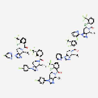 CC1c2ncn(-c3ccc(F)cc3)c2CCN1C(=O)c1cccc(C(F)(F)F)c1Cl.CC1c2ncn(-c3ccc(F)cc3)c2CCN1C(=O)c1cccc(C(F)(F)F)c1F.CC1c2ncn(-c3ccccn3)c2CCN1C(=O)c1cccc(C(F)(F)F)c1F.CC1c2ncn(-c3ncc(F)cn3)c2CCN1C(=O)c1cccc(C(F)(F)F)c1Cl.CC1c2ncn(-c3ncccc3F)c2CCN1C(=O)c1cccc(C(F)(F)F)c1Cl